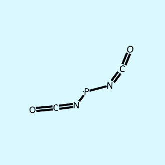 O=C=N[P]N=C=O